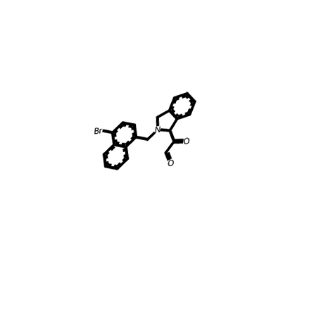 O=CC(=O)C1c2ccccc2CN1Cc1ccc(Br)c2ccccc12